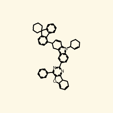 C1=CCC2C(=C1)Oc1c(-c3ccccc3)nc(-c3ccc4c(c3)c3c(n4C4C=CCCC4)C=CC(c4cccc5c4-c4ccccc4C54CCCCC4)C3)nc12